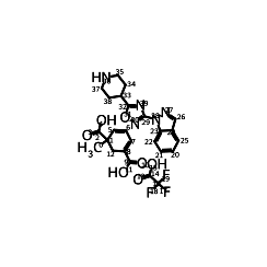 CC1(C(=O)O)C=CC=C(C(=O)O)C1.O=C(O)C(F)(F)F.c1ccc2c(c1)cnn2-c1noc(C2CCNCC2)n1